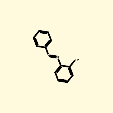 C[C](C)c1ccccc1/N=N/c1ccccc1